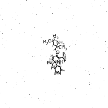 CC(C)CC(C)(N)COC1=C(C(F)F)NC(c2ccncc2)(C(F)F)C=C1